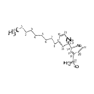 CCCCCCCCCc1ccnc(-c2cc(C(=O)O)ccn2)c1